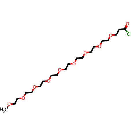 COCCOCCOCCOCCOCCOCCOCCOCCOCCC(=O)Cl